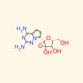 Nc1nc(N)c2ccc([C@]34O[C@H](CO)[C@@H](O)[C@]3(O)O4)n2n1